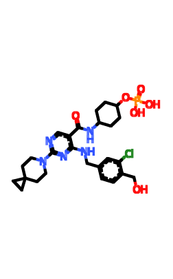 O=C(NC1CCC(OP(=O)(O)O)CC1)c1cnc(N2CCC3(CC2)CC3)nc1NCc1ccc(CO)c(Cl)c1